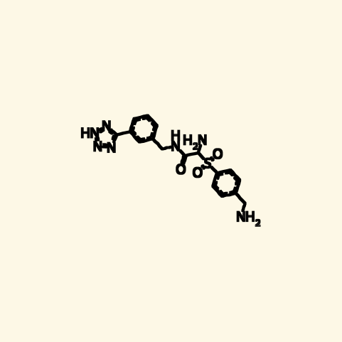 NCc1ccc(S(=O)(=O)C(N)C(=O)NCc2cccc(-c3nn[nH]n3)c2)cc1